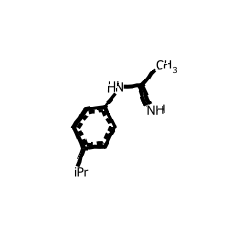 CC(=N)Nc1ccc(C(C)C)cc1